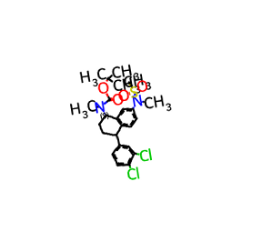 CN(C(=O)OC(C)(C)C)[C@H]1CCC(c2ccc(Cl)c(Cl)c2)c2ccc(N(C)S(C)(=O)=O)cc21